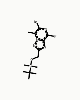 Cc1c(Br)nc(Br)c2nc(CO[Si](C)(C)C(C)(C)C)nn12